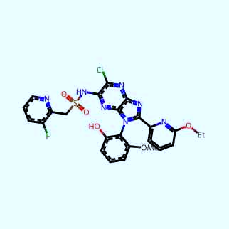 CCOC1=NC(c2nc3nc(Cl)c(NS(=O)(=O)Cc4ncccc4F)nc3n2-c2c(O)cccc2OC)=C=C=C1